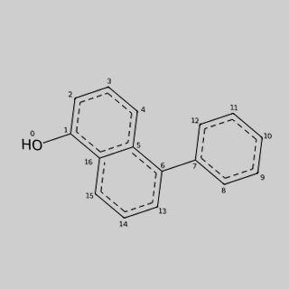 Oc1cccc2c(-c3ccccc3)cccc12